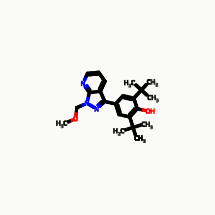 COCn1nc(-c2cc(C(C)(C)C)c(O)c(C(C)(C)C)c2)c2cccnc21